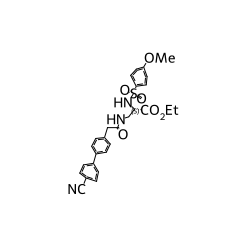 CCOC(=O)[C@H](CNC(=O)Cc1ccc(-c2ccc(C#N)cc2)cc1)NS(=O)(=O)c1ccc(OC)cc1